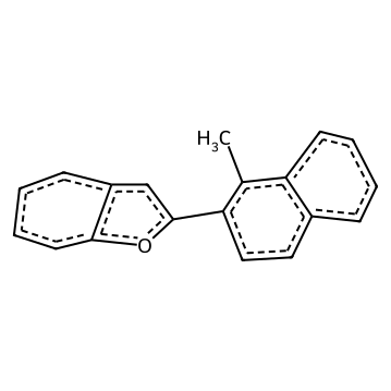 Cc1c(-c2cc3ccccc3o2)ccc2ccccc12